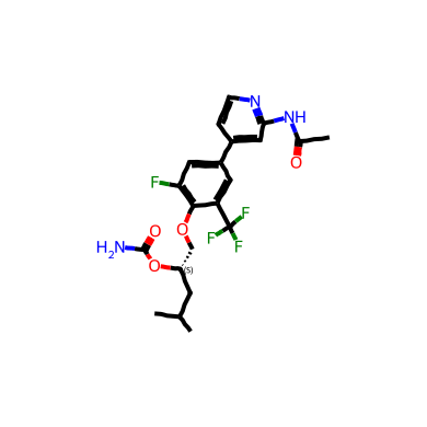 CC(=O)Nc1cc(-c2cc(F)c(OC[C@H](CC(C)C)OC(N)=O)c(C(F)(F)F)c2)ccn1